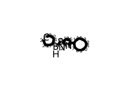 B(c1nc2nc(C3CCCCCCCCC3)ccc2s1)C1CCCCCCC1